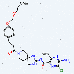 CNc1nc(N)c(Cl)nc1C(=O)/N=C1\NCC2(CCN(C(=O)CCc3ccc(OCOCCOC)cc3)CC2)N1